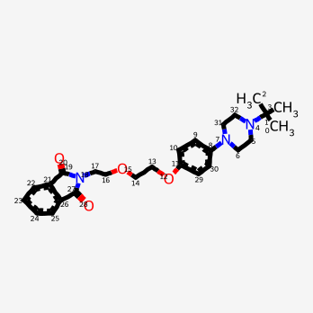 CC(C)(C)N1CCN(c2ccc(OCCOCCN3C(=O)c4ccccc4C3=O)cc2)CC1